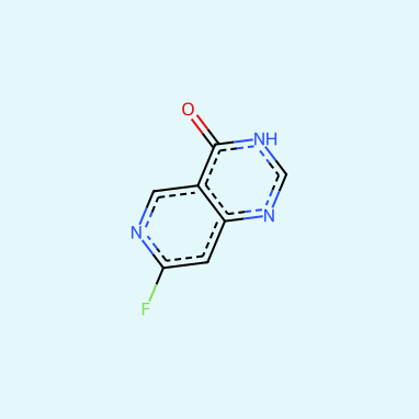 O=c1[nH]cnc2cc(F)ncc12